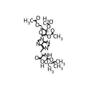 CC(=O)OC[C@H]1O[C@@H](n2cnc3c(C[C@H](NC(=O)OC(C)(C)C)C(=O)O)ncnc32)[C@H](OC(C)=O)[C@@H]1OC(C)=O